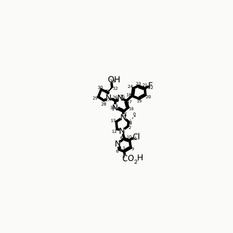 C[C@@H]1CN(c2ncc(C(=O)O)cc2Cl)CCN1c1cc(-c2ccc(F)cc2)nc(N2CCC[C@H]2CO)n1